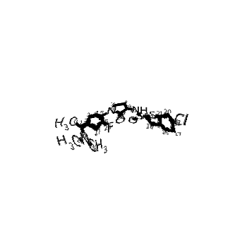 CC(c1ccc(N2CCC(N[S+]([O-])c3cc4ccc(Cl)cc4s3)C2=O)c(F)c1)N(C)C